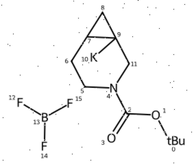 CC(C)(C)OC(=O)N1CCC2C[C]2([K])C1.FB(F)F